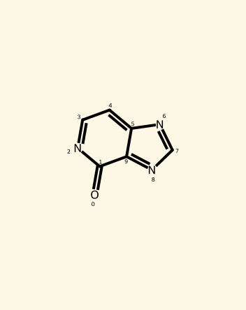 O=C1N=CC=C2N=CN=C12